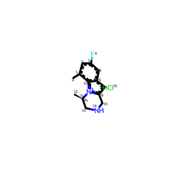 Cc1cc(F)cc2cc3n(c12)[C@H](C)CNC3.Cl